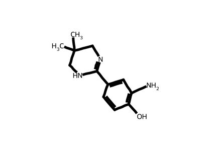 CC1(C)CN=C(c2ccc(O)c(N)c2)NC1